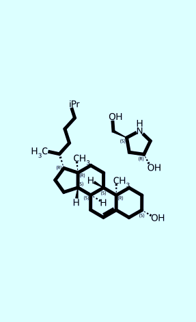 CC(C)CCCC(C)[C@H]1CC[C@H]2[C@@H]3CC=C4C[C@@H](O)CC[C@]4(C)[C@H]3CC[C@]12C.OC[C@@H]1C[C@@H](O)CN1